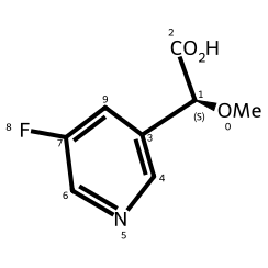 CO[C@H](C(=O)O)c1cncc(F)c1